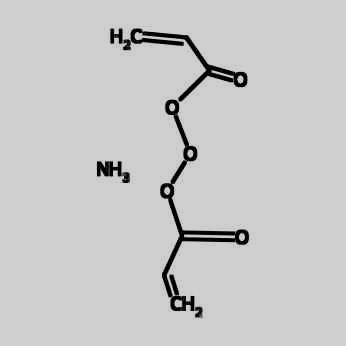 C=CC(=O)OOOC(=O)C=C.N